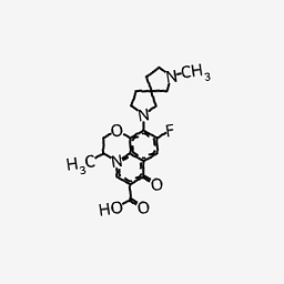 CC1COc2c(N3CCC4(CCN(C)C4)C3)c(F)cc3c(=O)c(C(=O)O)cn1c23